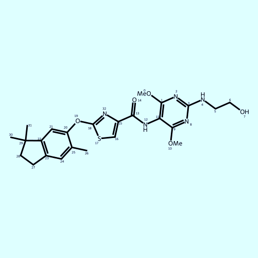 COc1nc(NCCO)nc(OC)c1NC(=O)c1csc(Oc2cc3c(cc2C)CCC3(C)C)n1